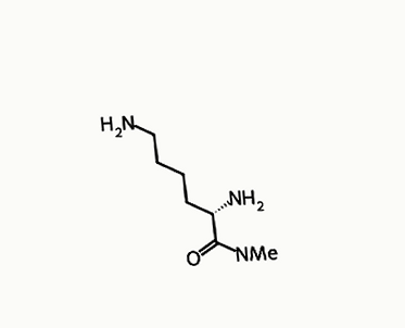 CNC(=O)[C@@H](N)CCCCN